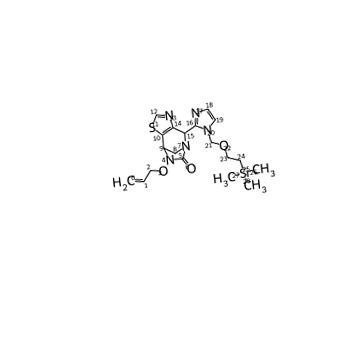 C=CCON1C(=O)N2CC1c1scnc1C2c1nccn1COCC[Si](C)(C)C